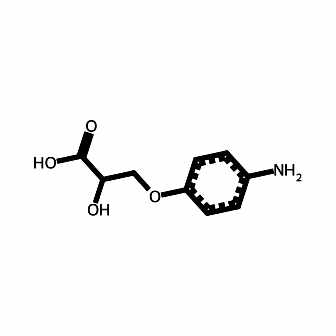 Nc1ccc(OCC(O)C(=O)O)cc1